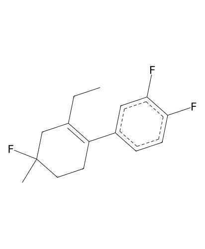 CCC1=C(c2ccc(F)c(F)c2)CCC(C)(F)C1